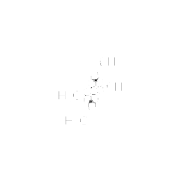 CCCCCOC(=O)Oc1c2ccc(CC)cc2c(OC(=O)OCCCCC)c2ccc(CC)cc12